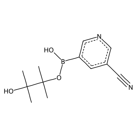 CC(C)(O)C(C)(C)OB(O)c1cncc(C#N)c1